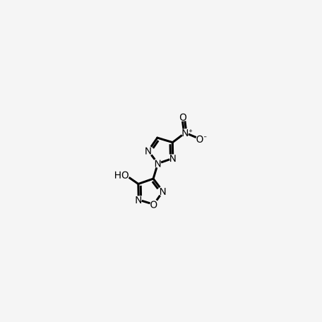 O=[N+]([O-])c1cnn(-c2nonc2O)n1